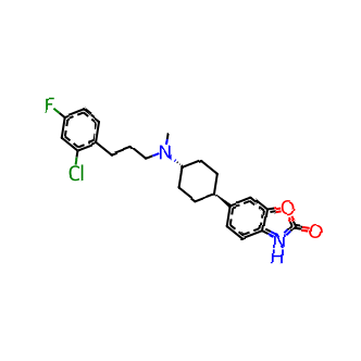 CN(CCCc1ccc(F)cc1Cl)[C@H]1CC[C@H](c2ccc3[nH]c(=O)oc3c2)CC1